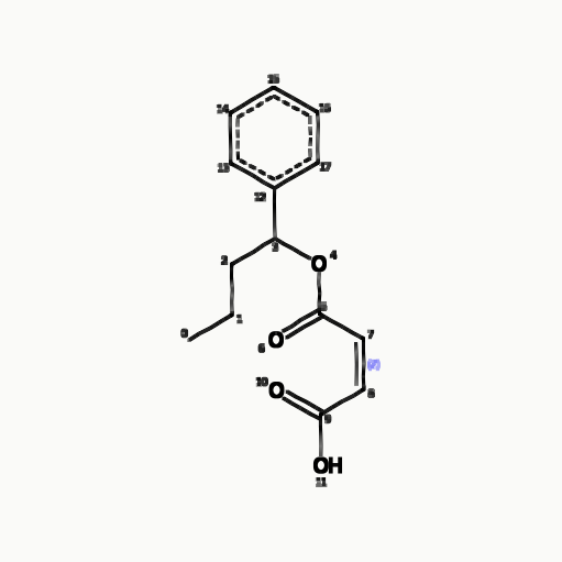 CCCC(OC(=O)/C=C\C(=O)O)c1ccccc1